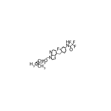 C[Si](C)(C)CCOCn1ccc2c(Cc3ccc(NC(=O)C(F)(F)F)cc3F)ccnc21